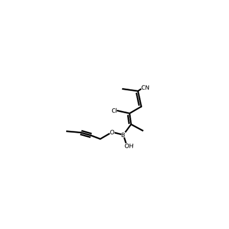 CC#CCOB(O)/C(C)=C(Cl)/C=C(\C)C#N